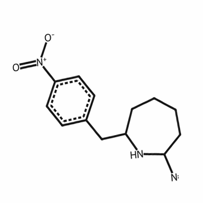 [N]C1CCCCC(Cc2ccc([N+](=O)[O-])cc2)N1